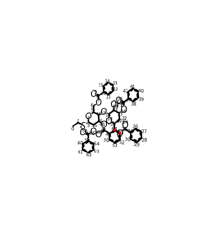 CCS[C@@H]1OC(COC(=O)c2ccccc2)[C@@H](O[C@H]2OC(COC(=O)c3ccccc3)[C@@H](C)[C@H](OC(=O)c3ccccc3)C2O)C(OC(=O)c2ccccc2)[C@@H]1OC(=O)c1ccccc1